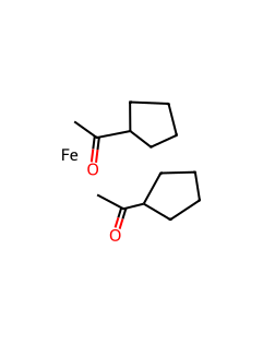 CC(=O)C1CCCC1.CC(=O)C1CCCC1.[Fe]